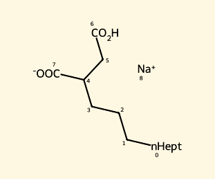 CCCCCCCCCCC(CC(=O)O)C(=O)[O-].[Na+]